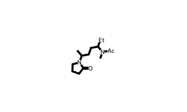 CCC(CCC(C)N1CCCC1=O)N(C)C(C)=O